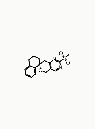 CS(=O)(=O)c1ncc2c(n1)CC1(CCCc3ccccc31)OC2